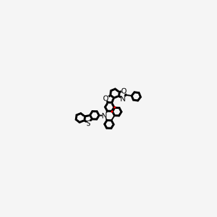 c1ccc(-c2nc3c(ccc4oc5cc(N(c6ccc7c(c6)sc6ccccc67)c6ccccc6-c6ccccc6)ccc5c43)o2)cc1